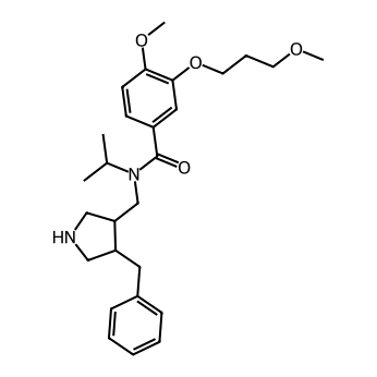 COCCCOc1cc(C(=O)N(CC2CNCC2Cc2ccccc2)C(C)C)ccc1OC